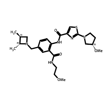 COCCNC(=O)c1cc(CN2C[C@H](C)[C@H]2C)ccc1NC(=O)c1csc(N2CC[C@H](OC)C2)n1